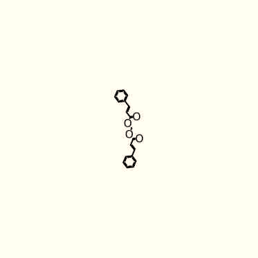 O=C(C=Cc1ccccc1)OCOC(=O)C=Cc1ccccc1